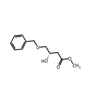 COC(=O)C[C@H](O)COCc1ccccc1